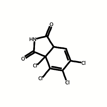 O=C1NC(=O)C2(Cl)C(Cl)=C(Cl)C(Cl)=CC12